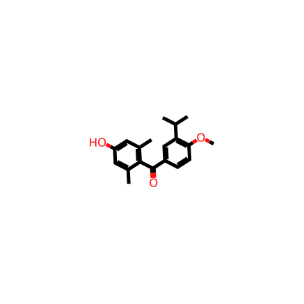 COc1ccc(C(=O)c2c(C)cc(O)cc2C)cc1C(C)C